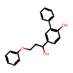 Oc1ccc(C(O)CCOc2ccccc2)cc1-c1ccccc1